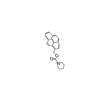 O=C(OCc1ccc2ccc3cccc4ccc1c2c34)N1CCCCC1